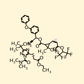 CC1(C)C(/C=C\C(=O)OC(C(F)(F)F)C(F)(F)F)C1C(=O)OC(C#N)c1cccc(Oc2ccccc2)c1.CCOC(=O)CSc1nc(C(C)(C)C)nn1C(=O)N(C)C